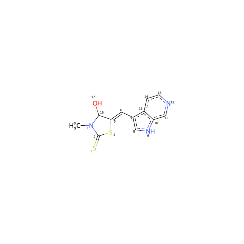 CN1C(=S)S/C(=C\c2c[nH]c3cnccc23)C1O